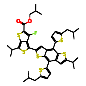 CC(C)COC(=O)c1sc2c(C(C)C)sc(-c3cc4c(-c5ccc(CC(C)C)s5)c5sc(C(C)C)cc5c(-c5ccc(CC(C)C)s5)c4s3)c2c1F